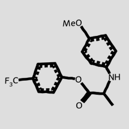 COc1ccc(NC(C)C(=O)Oc2ccc(C(F)(F)F)cc2)cc1